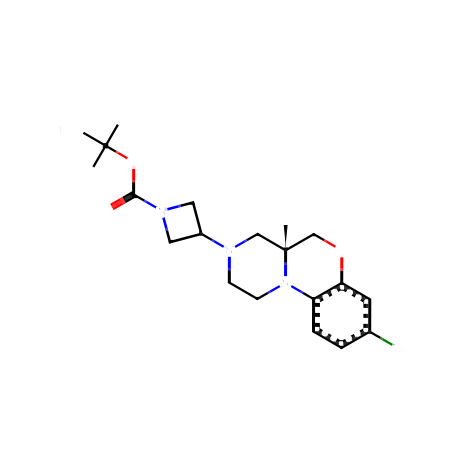 CC(C)(C)OC(=O)N1CC(N2CCN3c4ccc(Br)cc4OC[C@H]3C2)C1